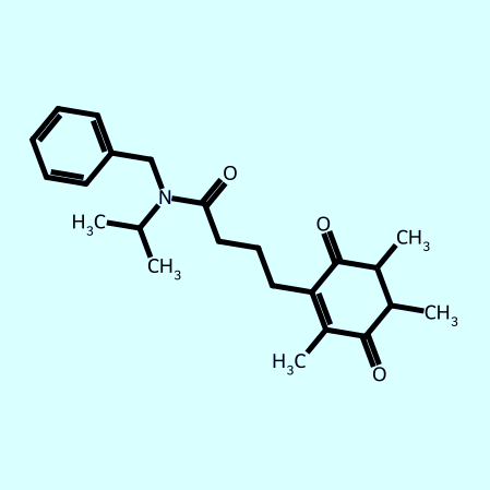 CC1=C(CCCC(=O)N(Cc2ccccc2)C(C)C)C(=O)C(C)C(C)C1=O